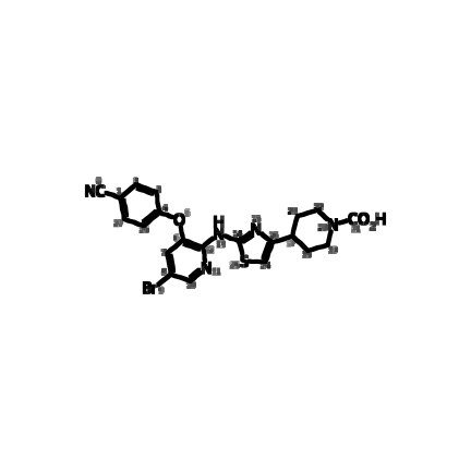 N#Cc1ccc(Oc2cc(Br)cnc2Nc2nc(C3CCN(C(=O)O)CC3)cs2)cc1